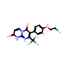 O=c1ccn2c(=O)c(-c3ccc(OCCF)cc3)c(C(F)(F)F)nc2[nH]1